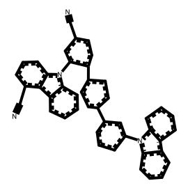 N#Cc1ccc(-c2ccc(-c3cccc(-n4c5ccccc5c5ccccc54)c3)cc2)c(-n2c3ccccc3c3c(C#N)cccc32)c1